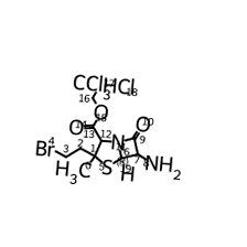 CC1(CCBr)S[C@@H]2C(N)C(=O)N2C1C(=O)OCC(Cl)(Cl)Cl.Cl